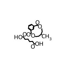 CC1CCOC(=O)c2cccc(c2)C(=O)OCC1.O=C(O)CCCCC(=O)O